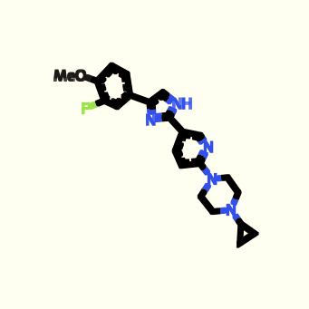 COc1ccc(-c2c[nH]c(-c3ccc(N4CCN(C5CC5)CC4)nc3)n2)cc1F